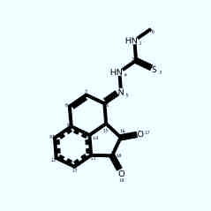 CNC(=S)NN=C1C=Cc2cccc3c2C1C(=O)C3=O